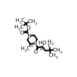 C[C@H]1CN(C(=O)OC(C)(C)C)CCN1C(=O)[C@H](O)CC(C)(C)C